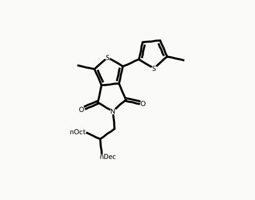 CCCCCCCCCCC(CCCCCCCC)CN1C(=O)c2c(C)sc(-c3ccc(C)s3)c2C1=O